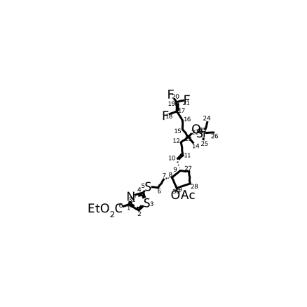 CCOC(=O)c1csc(SCC[C@@H]2[C@H](/C=C/CC(C)(CCC(F)=C(F)F)O[Si](C)(C)C)CC[C@@H]2OC(C)=O)n1